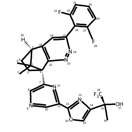 CC1(C)[C@H]2CC[C@]1(c1cncc(-c3nc([C@@](C)(O)C(F)(F)F)co3)n1)c1nnc(-c3c(F)cccc3F)cc12